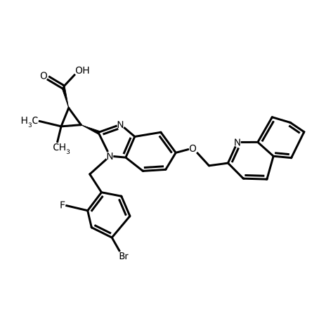 CC1(C)[C@H](c2nc3cc(OCc4ccc5ccccc5n4)ccc3n2Cc2ccc(Br)cc2F)[C@@H]1C(=O)O